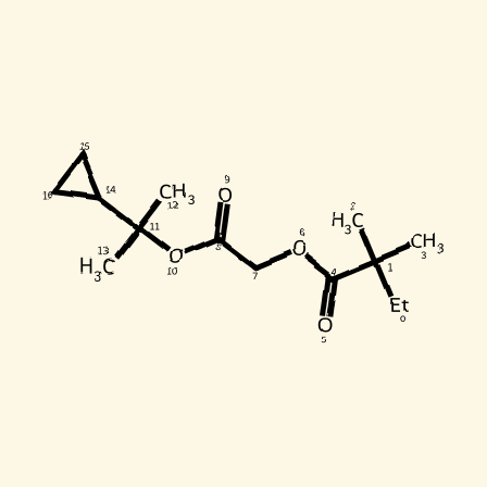 CCC(C)(C)C(=O)OCC(=O)OC(C)(C)C1CC1